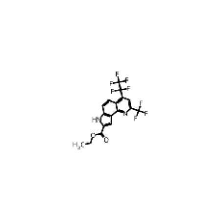 CCOC(=O)c1cc2c(ccc3c(C(F)(F)C(F)(F)F)cc(C(F)(F)F)nc32)[nH]1